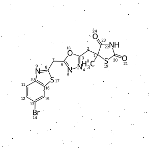 CC1(Cc2nnc(Cc3nc4ccc(Br)cc4s3)o2)SC(=O)NC1=O